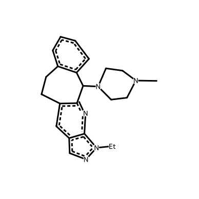 CCn1ncc2cc3c(nc21)C(N1CCN(C)CC1)c1ccccc1CC3